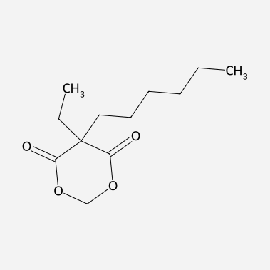 CCCCCCC1(CC)C(=O)OCOC1=O